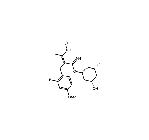 COc1ccc(C/C(C(=N)OC2C[C@@H](O)C[C@@H](C)O2)=C(\C)NC(C)C)c(F)c1